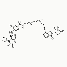 CC[C@@H]1C(=O)N(C)c2cnc(Nc3ccc(C(=O)NCCCOCCCN(C)CCC#Cc4cccc5c4CN(C4CCC(=O)NC4=O)C5=O)cc3OC)nc2N1C1CCCC1